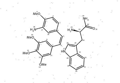 COc1ccc(/C=C\c2cc(OC)c(OC)c(OC)c2)cc1N.NC(=O)[C@H](N)Cc1c[nH]c2ccccc12